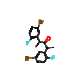 CC(C(=O)C(C)c1cc(Br)ccc1F)c1cc(Br)ccc1F